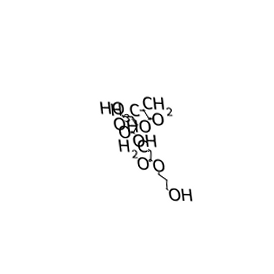 C=C(C)C(=O)O.C=CC(=O)OCCCO.O=C(O)/C=C\C(=O)O